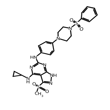 CS(=O)(=O)c1n[nH]c2nc(Nc3ccc(N4CCN(S(=O)(=O)c5ccccc5)CC4)cc3)nc(NC3CC3)c12